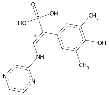 Cc1cc(/C(=C\Nc2cnccn2)P(=O)(O)O)cc(C)c1O